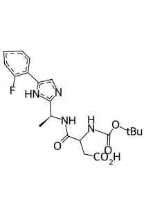 C[C@H](NC(=O)C(CC(=O)O)NC(=O)OC(C)(C)C)c1ncc(-c2ccccc2F)[nH]1